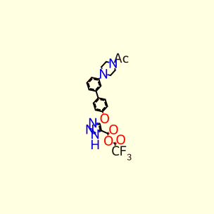 CC(=O)N1CCN(c2cccc(-c3ccc(Oc4nn[nH]c4C(=O)OC(=O)C(F)(F)F)cc3)c2)CC1